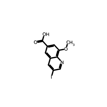 COc1cc(C(=O)O)cc2cc(I)cnc12